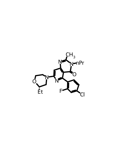 CCCn1c(C)nc2cc(N3CCO[C@@H](CC)C3)nc(-c3ccc(Cl)cc3F)c2c1=O